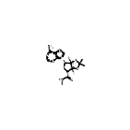 CNC(=O)[C@H]1O[C@H](n2cnc3c(N)ncnc32)[C@@H]2OC(C)(C)O[C@@H]21